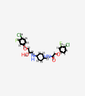 O=C(COc1ccc(Cl)c(F)c1)NCC1CCC(NCC(O)COc2ccc(Cl)c(F)c2)CC1